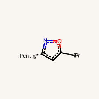 CCC[C@@H](C)c1cc(C(C)C)on1